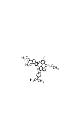 C=CC(=O)N1CCn2nc(-c3nc(N4CCN(C(C)C)CC4)c4ccsc4c3-c3c(F)cc(F)cc3OCCOC)cc2[C@H]1C